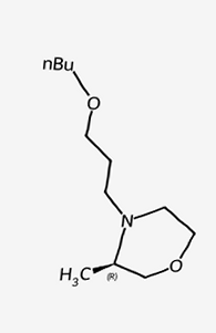 CCCCOCCCN1CCOC[C@H]1C